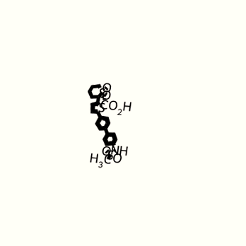 CS(=O)(=O)Nc1ccc(-c2ccc(-c3ccc([C@@]4(CC(=O)O)CCCCS4(=O)=O)s3)cc2)cc1